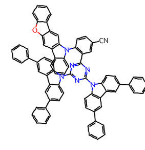 N#Cc1ccc(-n2c3ccccc3c3cc4oc5ccccc5c4cc32)c(-c2nc(-n3c4ccc(-c5ccccc5)cc4c4cc(-c5ccccc5)ccc43)nc(-n3c4ccc(-c5ccccc5)cc4c4cc(-c5ccccc5)ccc43)n2)c1